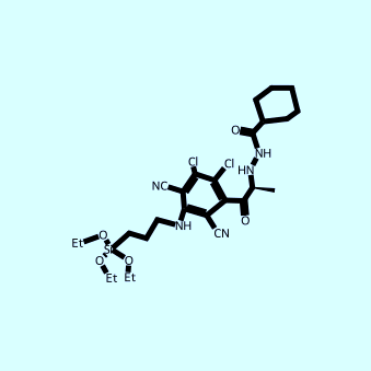 CCO[Si](CCCNc1c(C#N)c(Cl)c(Cl)c(C(=O)[C@H](C)NNC(=O)C2CCCCC2)c1C#N)(OCC)OCC